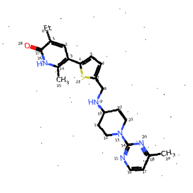 CCc1cc(-c2ccc(CNC3CCN(c4nccc(C)n4)CC3)s2)c(C)[nH]c1=O